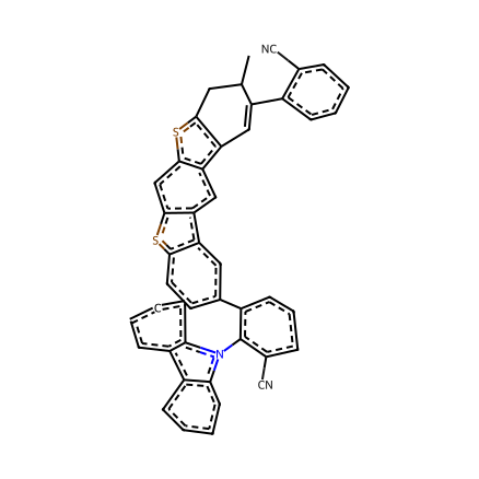 CC1Cc2sc3cc4sc5ccc(-c6cccc(C#N)c6-n6c7ccccc7c7ccccc76)cc5c4cc3c2C=C1c1ccccc1C#N